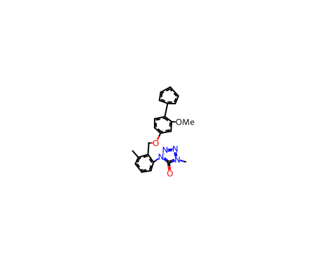 COc1cc(OCc2c(C)cccc2-n2nnn(C)c2=O)ccc1-c1ccccc1